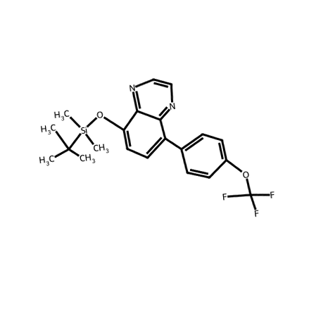 CC(C)(C)[Si](C)(C)Oc1ccc(-c2ccc(OC(F)(F)F)cc2)c2nccnc12